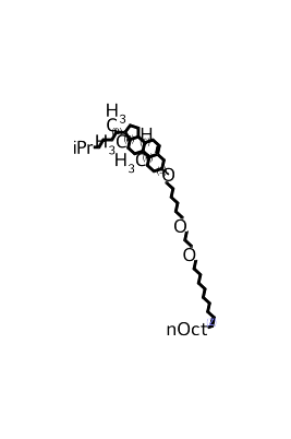 CCCCCCCC/C=C\CCCCCCCCOCCCOCCCCCCO[C@H]1CC[C@@]2(C)C(=CC[C@H]3C4CCC([C@H](C)CCCC(C)C)[C@@]4(C)CCC32)C1